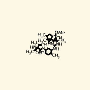 C=C(C)C1(C(=O)NC2CCC(C)C(NC3NC4(C56CC5(C)C(C)C[C@H]6C(C)OC)C[C@]4(C)N3)C2)NC1(C)O